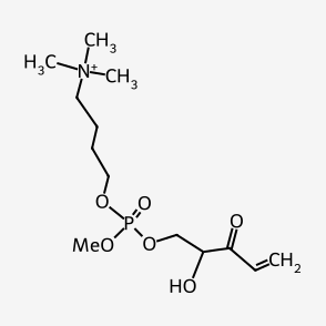 C=CC(=O)C(O)COP(=O)(OC)OCCCC[N+](C)(C)C